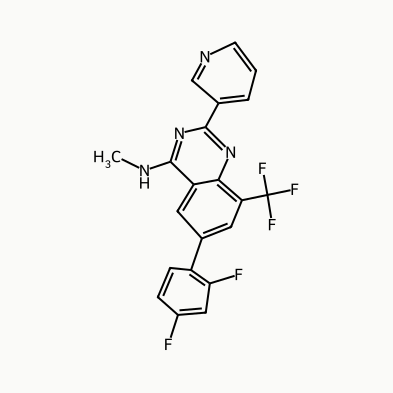 CNc1nc(-c2cccnc2)nc2c(C(F)(F)F)cc(-c3ccc(F)cc3F)cc12